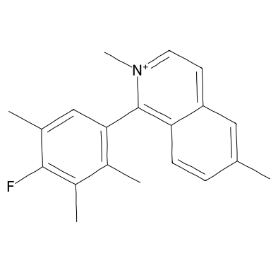 Cc1ccc2c(-c3cc(C)c(F)c(C)c3C)[n+](C)ccc2c1